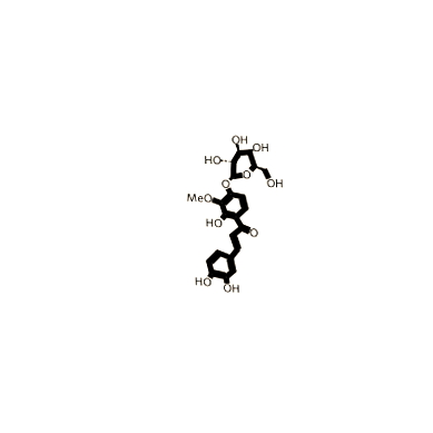 COc1c(O[C@@H]2O[C@H](CO)[C@@H](O)[C@H](O)[C@H]2O)ccc(C(=O)/C=C/c2ccc(O)c(O)c2)c1O